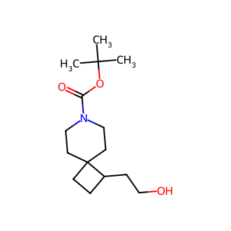 CC(C)(C)OC(=O)N1CCC2(CCC2CCO)CC1